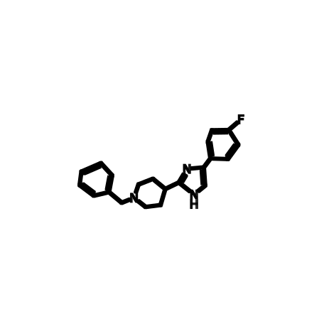 Fc1ccc(-c2c[nH]c(C3CCN(Cc4ccccc4)CC3)n2)cc1